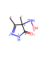 CC1=NNC(=O)C1(C)NO